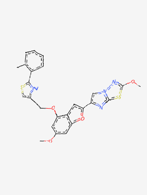 COc1cc(OCc2csc(-c3ccccc3C)n2)c2cc(-c3cn4nc(OC)sc4n3)oc2c1